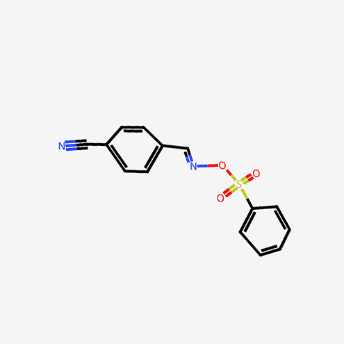 N#Cc1ccc(C=NOS(=O)(=O)c2ccccc2)cc1